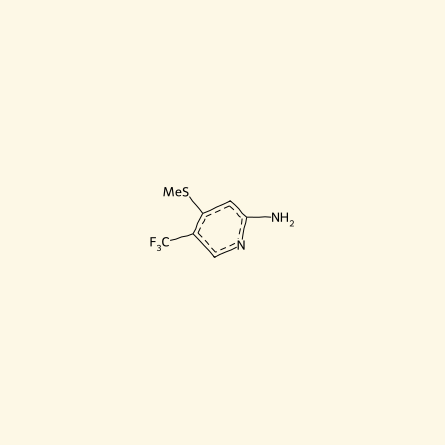 CSc1cc(N)ncc1C(F)(F)F